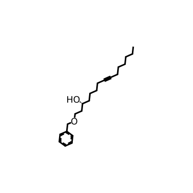 CCCCCCC#CCCCC[C@@H](O)CCOCc1ccccc1